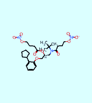 CC(C)(C)N(C[C@@H](COc1ccccc1C1CCCC1)OC(=O)CCCO[N+](=O)[O-])C(=O)CCCO[N+](=O)[O-]